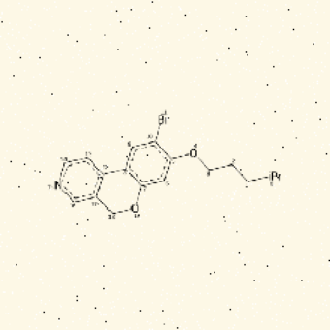 CC(C)CCCOc1cc2c(cc1Br)-c1ccncc1CO2